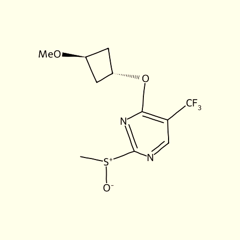 CO[C@H]1C[C@H](Oc2nc([S+](C)[O-])ncc2C(F)(F)F)C1